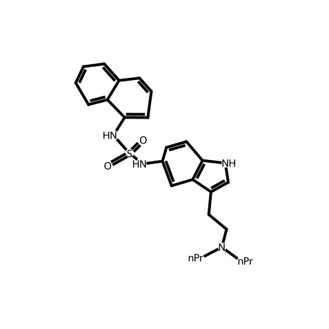 CCCN(CCC)CCc1c[nH]c2ccc(NS(=O)(=O)Nc3cccc4ccccc34)cc12